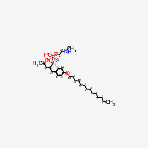 CCCCCCCCCCCCCCOc1ccc(CC(COP(=O)(O)OCCNC)CC(C)=O)cc1